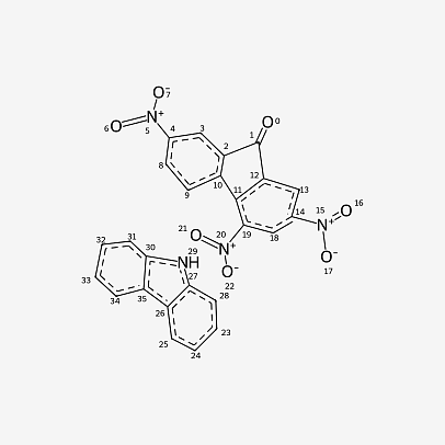 O=C1c2cc([N+](=O)[O-])ccc2-c2c1cc([N+](=O)[O-])cc2[N+](=O)[O-].c1ccc2c(c1)[nH]c1ccccc12